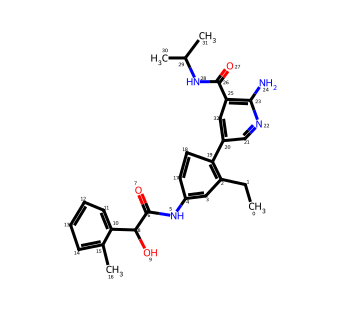 CCc1cc(NC(=O)C(O)c2ccccc2C)ccc1-c1cnc(N)c(C(=O)NC(C)C)c1